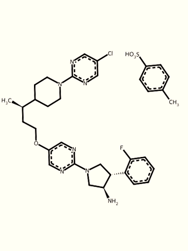 C[C@H](CCOc1cnc(N2C[C@H](c3ccccc3F)[C@@H](N)C2)nc1)C1CCN(c2ncc(Cl)cn2)CC1.Cc1ccc(S(=O)(=O)O)cc1